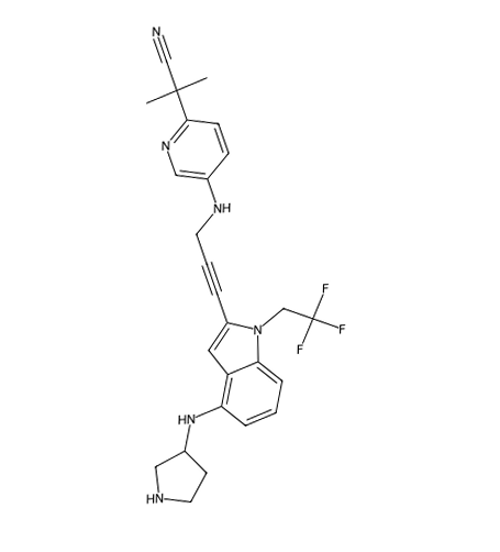 CC(C)(C#N)c1ccc(NCC#Cc2cc3c(NC4CCNC4)cccc3n2CC(F)(F)F)cn1